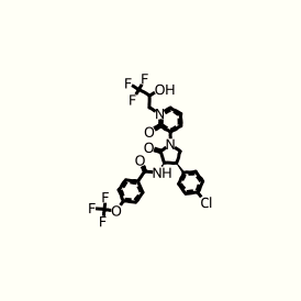 O=C(N[C@@H]1C(=O)N(c2cccn(CC(O)C(F)(F)F)c2=O)C[C@H]1c1ccc(Cl)cc1)c1ccc(OC(F)(F)F)cc1